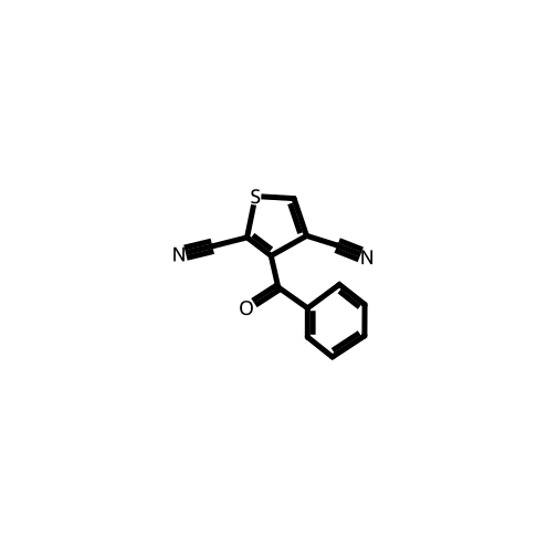 N#Cc1csc(C#N)c1C(=O)c1ccccc1